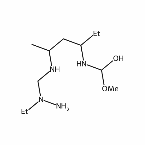 CCC(CC(C)NCN(N)CC)NC(O)OC